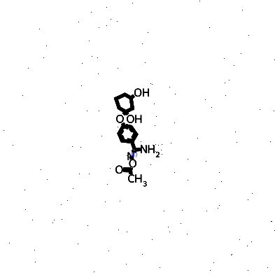 CC(=O)O/N=C(\N)c1ccc(OC2(O)CCCC(O)C2)cc1